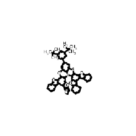 CC(C)(C)c1cc(-c2cc3c4c(c2)Sc2c(c5oc6ccccc6c5c5c2oc2ccccc25)B4c2c(c4oc5ccccc5c4c4c2oc2ccccc24)O3)cc(C(C)(C)C)c1